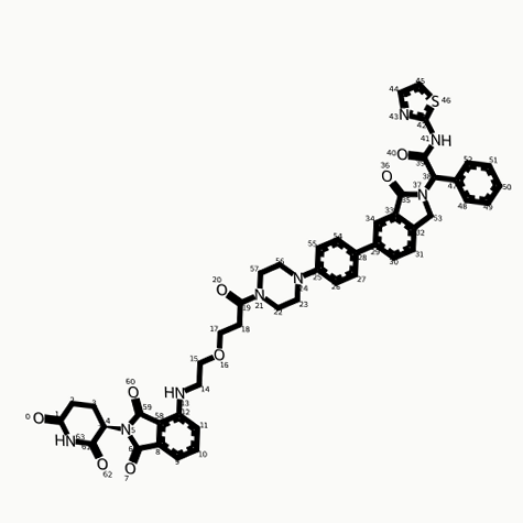 O=C1CC[C@@H](N2C(=O)c3cccc(NCCOCCC(=O)N4CCN(c5ccc(-c6ccc7c(c6)C(=O)N(C(C(=O)Nc6nccs6)c6ccccc6)C7)cc5)CC4)c3C2=O)C(=O)N1